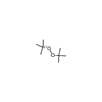 CC(C)(C)O[17O]C(C)(C)C